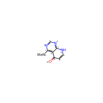 CNc1ncnc2[nH]ccc(=O)c12